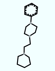 c1ccc(N2CCN(CCN3CCCCC3)CC2)cc1